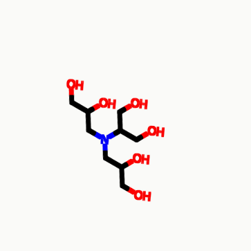 OCC(O)CN(CC(O)CO)C(CO)CO